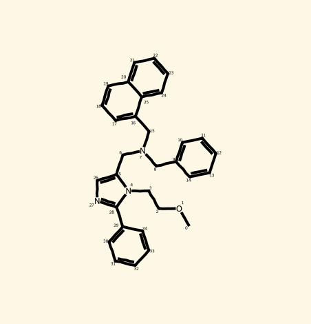 COCCn1c(CN(Cc2ccccc2)Cc2cccc3ccccc23)cnc1-c1ccccc1